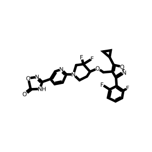 O=c1[nH]c(-c2ccc(N3CCC(OCc4c(-c5c(F)cccc5F)noc4C4CC4)C(F)(F)C3)nc2)no1